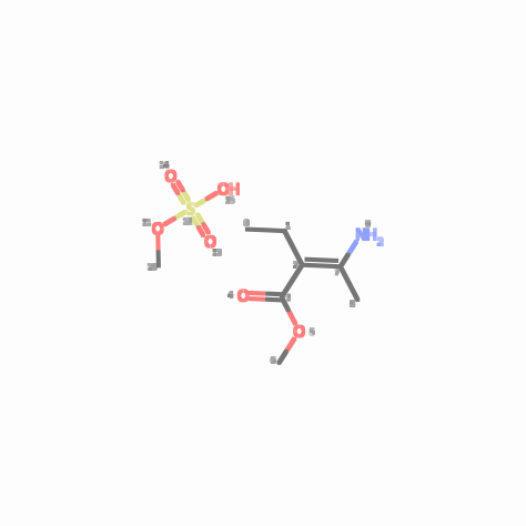 CCC(C(=O)OC)=C(C)N.COS(=O)(=O)O